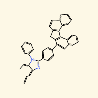 C=C/C=c1/nc(-c2ccc(-c3cc4ccccc4c4c3Cc3ccc5ccccc5c3-4)cc2)n(-c2ccccc2)/c1=C/C